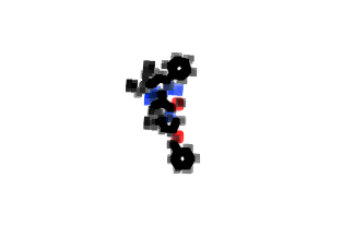 CCC1(CC)C[C@H](OCc2ccccc2)CN1C(=O)c1cnn2c1N[C@H](c1ccccc1)CC2(C)C